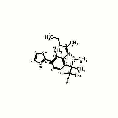 CCC/C(C)=N\c1c(C(C)(OC)C(F)(F)F)ccc(-c2nccs2)c1C